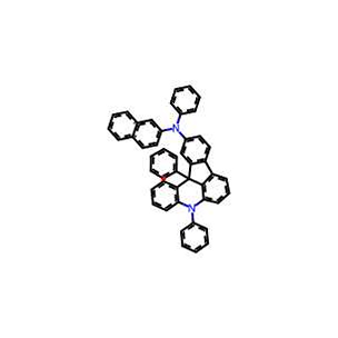 c1ccc(N(c2ccc3c(c2)C2(c4ccccc4)c4ccccc4N(c4ccccc4)c4cccc-3c42)c2ccc3ccccc3c2)cc1